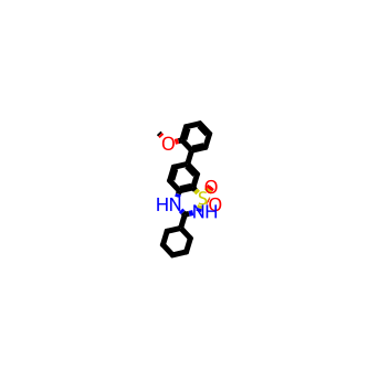 COc1ccccc1-c1ccc2c(c1)S(=O)(=O)NC(C1CCCCC1)N2